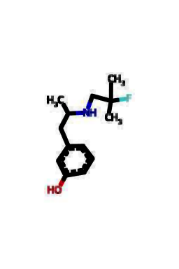 CC(Cc1cccc(O)c1)NCC(C)(C)F